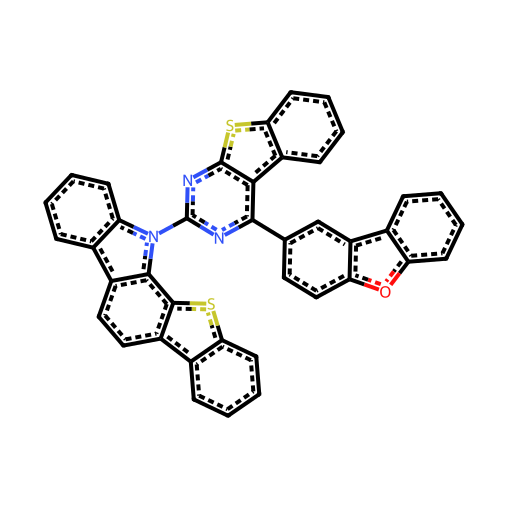 c1ccc2c(c1)oc1ccc(-c3nc(-n4c5ccccc5c5ccc6c7ccccc7sc6c54)nc4sc5ccccc5c34)cc12